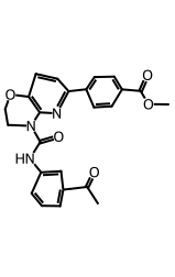 COC(=O)c1ccc(-c2ccc3c(n2)N(C(=O)Nc2cccc(C(C)=O)c2)CCO3)cc1